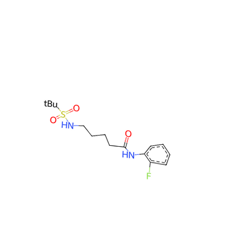 CC(C)(C)S(=O)(=O)NCCCCC(=O)Nc1ccccc1F